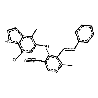 Cc1ncc(C#N)c(Nc2cc(Cl)c3[nH]ccc3c2C)c1C=Cc1ccccc1